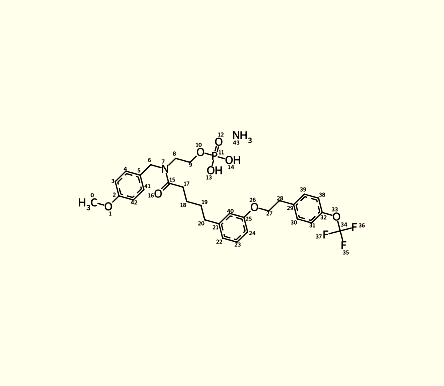 COc1ccc(CN(CCOP(=O)(O)O)C(=O)CCCCc2cccc(OCCc3ccc(OC(F)(F)F)cc3)c2)cc1.N